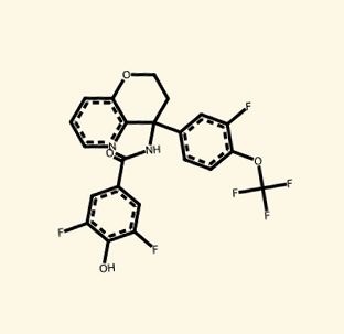 O=C(NC1(c2ccc(OC(F)(F)F)c(F)c2)CCOc2cccnc21)c1cc(F)c(O)c(F)c1